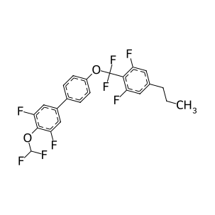 CCCc1cc(F)c(C(F)(F)Oc2ccc(-c3cc(F)c(OC(F)F)c(F)c3)cc2)c(F)c1